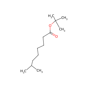 CC(C)CCCCCC(=O)OC(C)(C)C